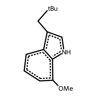 COc1cccc2c(CC(C)(C)C)c[nH]c12